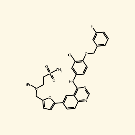 CC(C)N(CCS(C)(=O)=O)Cc1ccc(-c2ccc3ncnc(Nc4ccc(OCc5cccc(F)c5)c(Cl)c4)c3c2)o1